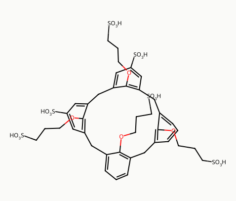 O=S(=O)(O)CCCOc1c2cccc1Cc1cc(S(=O)(=O)O)cc(c1OCCCS(=O)(=O)O)Cc1cc(S(=O)(=O)O)cc(c1OCCCS(=O)(=O)O)Cc1cccc(c1OCCCS(=O)(=O)O)C2